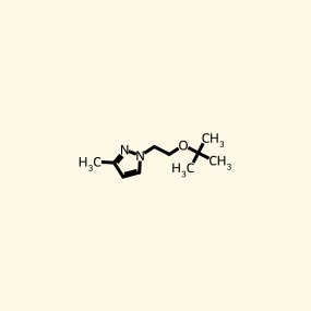 Cc1ccn(CCOC(C)(C)C)n1